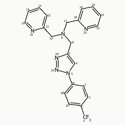 FC(F)(F)c1ccc(-n2cc(CN(Cc3ccccn3)Cc3ccccn3)nn2)cc1